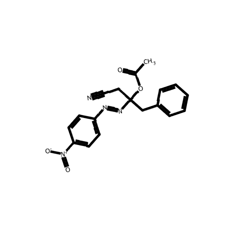 CC(=O)OC(CC#N)(Cc1ccccc1)N=Nc1ccc([N+](=O)[O-])cc1